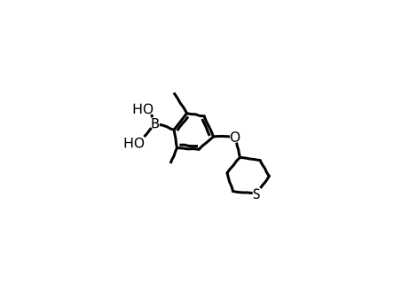 Cc1cc(OC2CCSCC2)cc(C)c1B(O)O